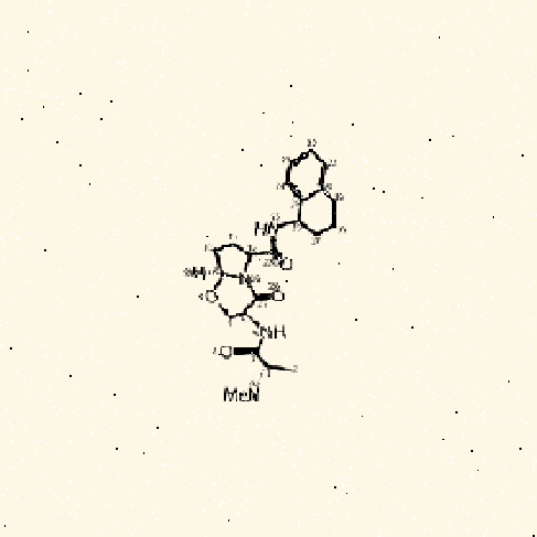 CN[C@@H](C)C(=O)N[C@H]1CO[C@H]2CCC(C(=O)NC3CCCc4ccccc43)N2C1=O